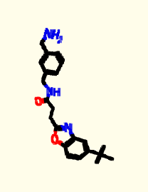 CC(C)(C)c1ccc2oc(CCC(=O)NCc3cccc(CN)c3)nc2c1